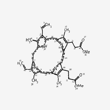 C=Cc1c(C)c2cc3[nH]c(cc4nc(cc5nc(cc1[nH]2)C(C)=C5CCC(=O)OC)C(CCC(=O)OC)=C4C)c(C)c3C=C